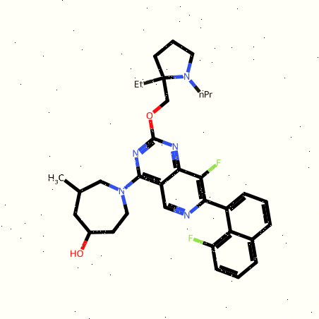 CCCN1CCCC1(CC)COc1nc(N2CCC(O)CC(C)C2)c2cnc(-c3cccc4cccc(F)c34)c(F)c2n1